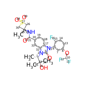 C[C@H](n1c(=O)n(-c2cc(OC(F)F)ccc2F)c2ccc(C(=O)NC3(C)CS(=O)(=O)C3)cc21)C(C)(C)O